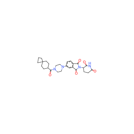 O=C1CCC(N2C(=O)c3ccc(N4CCN(C(=O)C5CCC6(CCC6)CC5)CC4)cc3C2=O)C(=O)N1